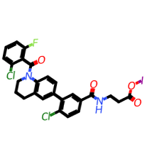 O=C(CCNC(=O)c1ccc(Cl)c(-c2ccc3c(c2)CCCN3C(=O)c2c(F)cccc2Cl)c1)OI